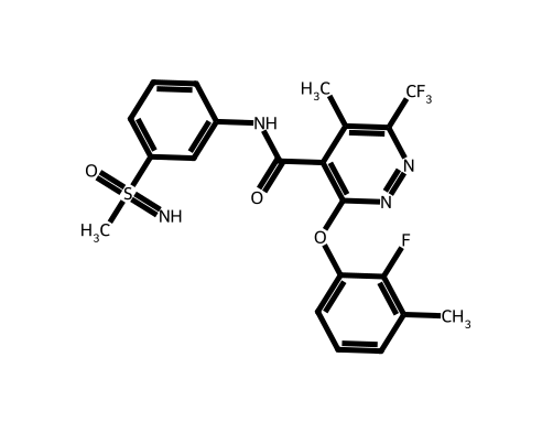 Cc1cccc(Oc2nnc(C(F)(F)F)c(C)c2C(=O)Nc2cccc(S(C)(=N)=O)c2)c1F